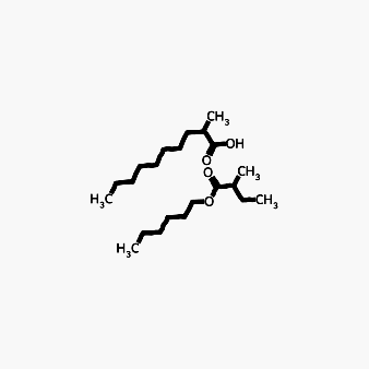 CCCCCCCCC(C)C(=O)O.CCCCCCOC(=O)C(C)CC